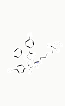 NS(=O)(=O)CCCC/N=C(/NS(=O)(=O)c1ccc(Cl)cc1)N1C[C@H](c2ccccc2)C(c2ccc(Cl)cc2)=N1